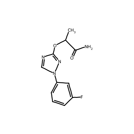 CC(Oc1ncn(-c2cccc(F)c2)n1)C(N)=O